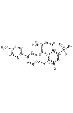 Cc1ccc(-c2ccc(Cn3c(=O)cc(C(F)(F)F)c4ccc(N)cc43)cc2)cc1